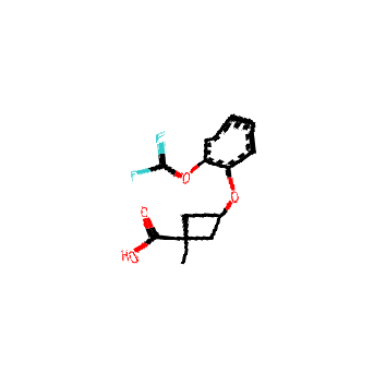 CC1(C(=O)O)CC(Oc2ccccc2OC(F)F)C1